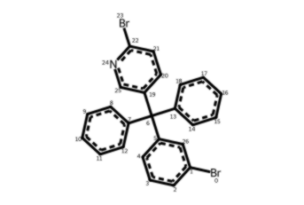 Brc1cccc(C(c2ccccc2)(c2ccccc2)c2ccc(Br)nc2)c1